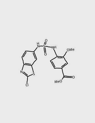 COC(=O)c1ccc(NS(=O)(=O)Nc2ccc3nc(Cl)sc3c2)c(OC)c1